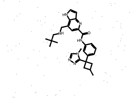 CC1CC(c2cccc(NC(=O)c3cc(CNCC(C)(C)C)c4[nH]ccc4n3)c2)(c2nncn2C)C1